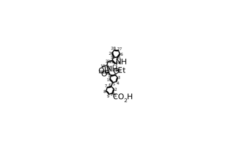 CCOc1ccc(-c2cccc(C(=O)O)c2)cc1C(=O)N[C@@H](CO)Cc1c[nH]c2ccccc12